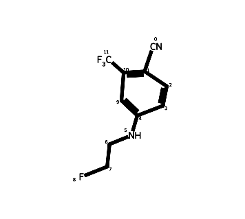 N#Cc1ccc(NCCF)cc1C(F)(F)F